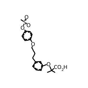 CC(C)(Oc1cccc(CCCOc2ccc(OS(C)(=O)=O)cc2)c1)C(=O)O